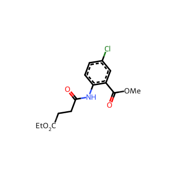 CCOC(=O)CCC(=O)Nc1ccc(Cl)cc1C(=O)OC